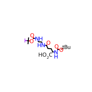 CC(C)(C)OC(=O)N[C@@H](CCC(=O)NCCNC(=O)OC(C)(C)I)C(=O)O